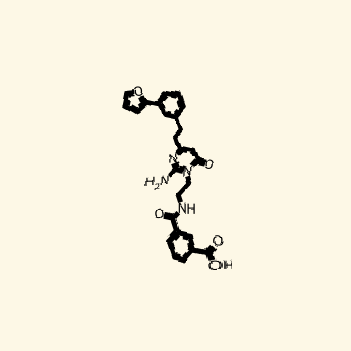 Nc1nc(CCc2cccc(-c3ccco3)c2)cc(=O)n1CCNC(=O)c1cccc(C(=O)O)c1